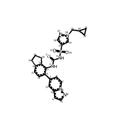 O=C(Nc1c(-c2ccn3nccc3c2)ccc2c1CCC2)NS(=O)(=O)c1cnn(CC2CC2)c1